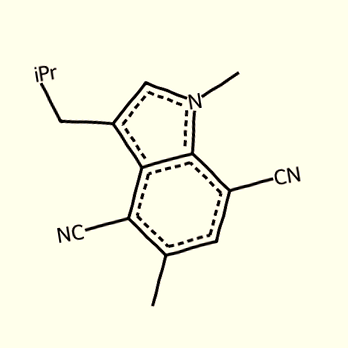 Cc1cc(C#N)c2c(c(CC(C)C)cn2C)c1C#N